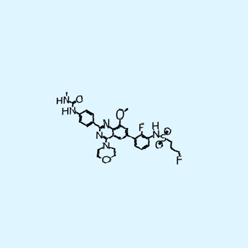 CNC(=O)Nc1ccc(-c2nc(N3CCOCC3)c3cc(-c4cccc(NS(=O)(=O)CCCF)c4F)cc(OC)c3n2)cc1